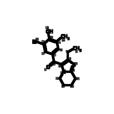 CCc1nc2n(c1C(=O)c1cc(C)c(O)c(Br)c1)CCCC2